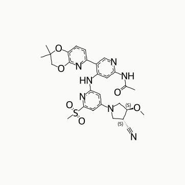 CO[C@@H]1CN(c2cc(Nc3cc(NC(C)=O)ncc3-c3ccc4c(n3)OCC(C)(C)O4)nc(S(C)(=O)=O)c2)C[C@H]1C#N